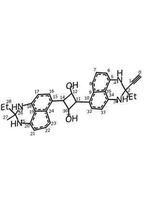 C#CC1(CC)Nc2cccc3c(C4C(O)C(c5ccc6c7c(cccc57)NC(C)(CC)N6)C4O)ccc(c23)N1